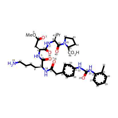 COC(=O)C[C@H](NC(=O)[C@H](CCCCN)NC(=O)Cc1ccc(NC(=O)Nc2ccccc2C)cc1)C(=O)N[C@H](C(=O)N1CCCC1C(=O)O)C(C)C